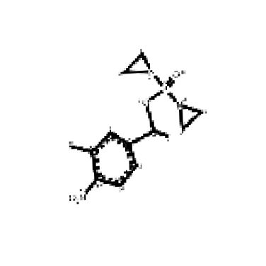 Cc1cc(C(C)OP(=O)(N2CC2)N2CC2)ccc1[N+](=O)[O-]